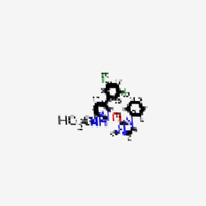 CN1CCN(C2CCCCC2)C1=O.O=C(O)Nc1ccc(-c2cc(F)cc(F)c2)cn1